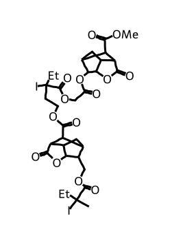 CCC(C)(I)C(=O)OCC1C2CC3C1OC(=O)C3C2C(=O)OCCC(I)(CC)C(=O)OCC(=O)OC1C2CC3C1OC(=O)C3C2C(=O)OC